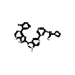 O=C(Nc1cncc(-c2cc3c(-c4cc5c(-c6ccccc6F)ccnc5[nH]4)n[nH]c3cn2)c1)C1CCC1